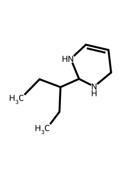 CCC(CC)C1NC=CCN1